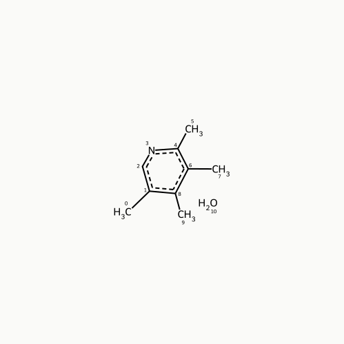 Cc1cnc(C)c(C)c1C.O